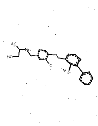 Cc1c(COc2ccc(CN[C@H](C)CO)cc2Cl)cccc1-c1ccccc1